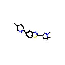 CC1CCC(c2ccc3sc(C4CN(C)C(C)(C)C4)nc3c2)=NC1